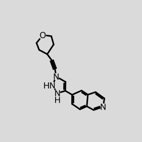 C(#CN1C=C(c2ccc3cnccc3c2)NN1)C1CCOCC1